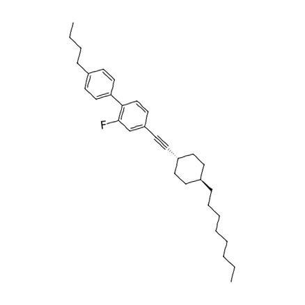 CCCCCCCC[C@H]1CC[C@H](C#Cc2ccc(-c3ccc(CCCC)cc3)c(F)c2)CC1